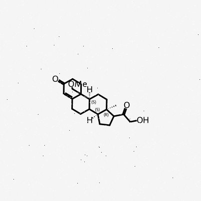 COCC12CCC(=O)C=C1CCC1[C@@H]2CC[C@@]2(C)C(C(=O)CO)CC[C@@H]12